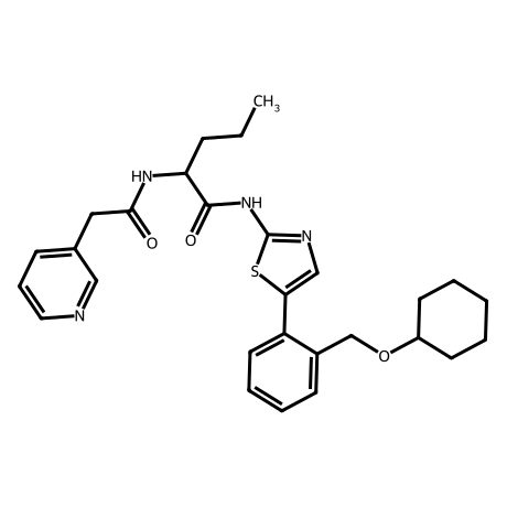 CCCC(NC(=O)Cc1cccnc1)C(=O)Nc1ncc(-c2ccccc2COC2CCCCC2)s1